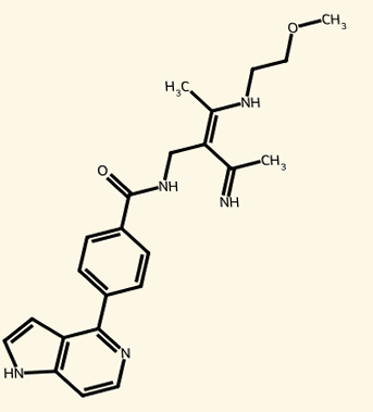 COCCN/C(C)=C(/CNC(=O)c1ccc(-c2nccc3[nH]ccc23)cc1)C(C)=N